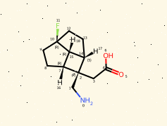 NC[C@@]1(CC(=O)O)[C@@H]2CC[C@]3(F)CC[C@H]1[C@H]23